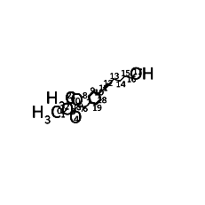 CCOC(=O)[C@H](Cc1ccc(C#CCCCCO)cc1)OC